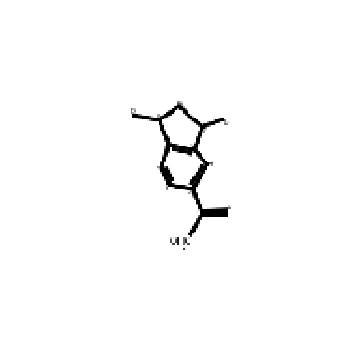 C=C(C=O)c1ccc2c(c1)C(C)CC2C